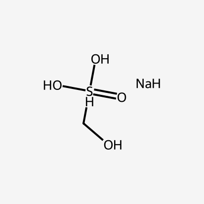 O=[SH](O)(O)CO.[NaH]